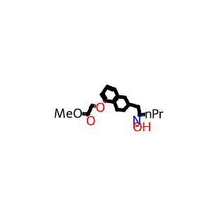 CCCC(CC1CCc2c(cccc2OCC(=O)OC)C1)=NO